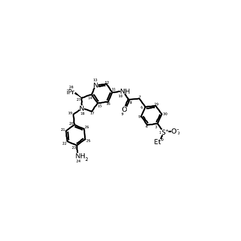 CC[S+]([O-])c1ccc(CC(=O)Nc2cnc3c(c2)CN(Cc2ccc(N)cc2)[C@H]3C(C)C)cc1